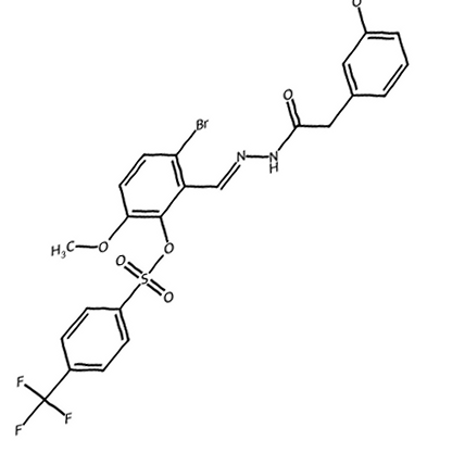 COc1cccc(CC(=O)N/N=C/c2c(Br)ccc(OC)c2OS(=O)(=O)c2ccc(C(F)(F)F)cc2)c1